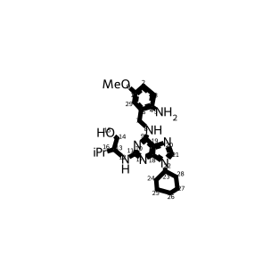 COc1ccc(N)c(CNc2nc(NC(CO)C(C)C)nc3c2ncn3C2CCCCC2)c1